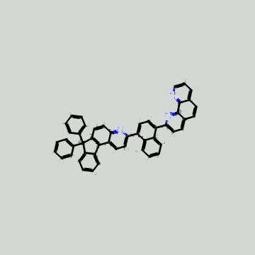 c1ccc(C2(c3ccccc3)c3ccccc3-c3c2ccc2nc(-c4ccc(-c5ccc6ccc7cccnc7c6n5)c5ccccc45)ccc32)cc1